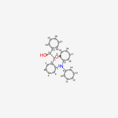 O=C(c1ccccc1N(c1ccccc1)c1ccccc1)C(O)c1ccccc1